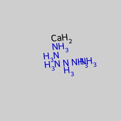 N.N.N.N.N.N.[CaH2]